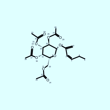 C=C(/C=C\CC)O[C@@H]1O[C@H](COC(C)=O)[C@H](OC(C)=O)[C@H](OC(C)=O)[C@H]1OC(C)=O